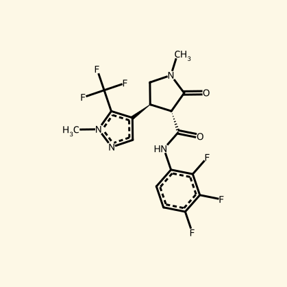 CN1C[C@H](c2cnn(C)c2C(F)(F)F)[C@@H](C(=O)Nc2ccc(F)c(F)c2F)C1=O